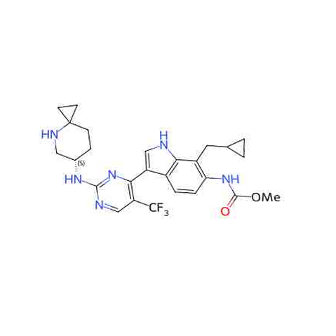 COC(=O)Nc1ccc2c(-c3nc(N[C@H]4CCC5(CC5)NC4)ncc3C(F)(F)F)c[nH]c2c1CC1CC1